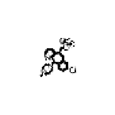 CN1CCN(C2c3ccc(Cl)cc3C=C(COS(C)(=O)=O)c3cccnc32)CC1